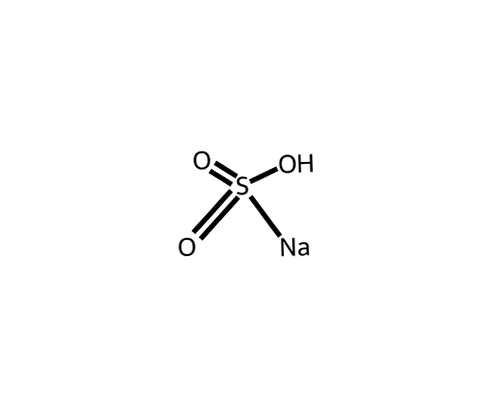 O=[S](=O)(O)[Na]